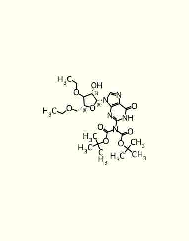 CCOC[C@H]1O[C@@H](n2cnc3c(=O)[nH]c(N(C(=O)OC(C)(C)C)C(=O)OC(C)(C)C)nc32)[C@@H](O)C1OCC